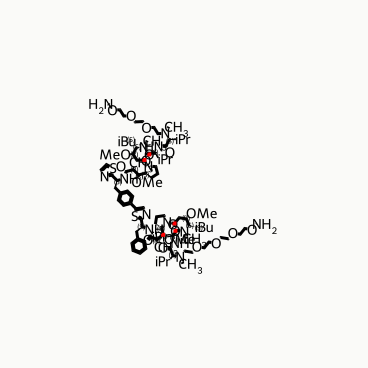 CC[C@H](C)[C@@H]([C@@H](CC(=O)N1CCC[C@H]1[C@H](OC)[C@@H](C)C(=O)N[C@@H](Cc1ccc(-c2cnc([C@H](Cc3ccccc3)NC(=O)[C@H](C)[C@@H](OC)[C@@H]3CCCN3C(=O)C[C@@H](OC)[C@H]([C@@H](C)CC)N(C)C(=O)[C@@H](NC(=O)[C@H](C(C)C)N(C)CCOCCOCCOCCON)C(C)C)s2)cc1)c1nccs1)OC)N(C)C(=O)[C@@H](NC(=O)[C@H](C(C)C)N(C)CCOCCOCCON)C(C)C